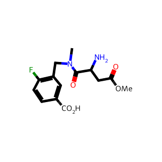 COC(=O)CC(N)C(=O)N(C)Cc1cc(C(=O)O)ccc1F